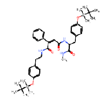 CNC(=O)C(Cc1ccc(O[Si](C)(C)C(C)(C)C)cc1)NC(=O)/C=C(\C(=O)NCCc1ccc(O[Si](C)(C)C(C)(C)C)cc1)c1ccccc1